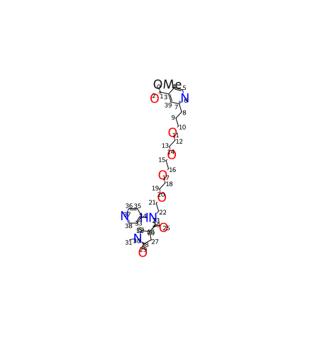 COC(=O)c1ccnc(CCCOCCOCCOCCOCCNC(=O)[C@H]2CC(=O)N(C)[C@@H]2c2cccnc2)c1